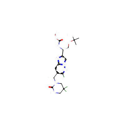 C[C@H](c1cc2nc([C@H](COC(C)(C)C(F)(F)F)NC(=O)OC(C)(C)C)cn2nc1Cl)N1CC(F)(F)CNC1=O